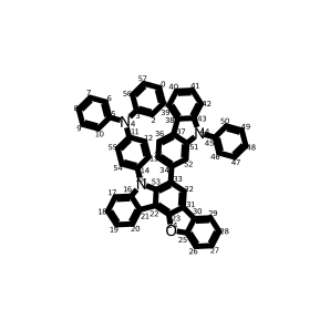 c1ccc(N(c2ccccc2)c2ccc(-n3c4ccccc4c4c5oc6ccccc6c5cc(-c5ccc6c7ccccc7n(-c7ccccc7)c6c5)c43)cc2)cc1